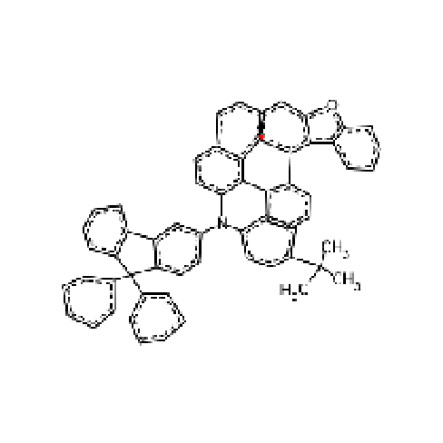 CC(C)(C)c1ccc(N(c2ccc3c(c2)-c2ccccc2C3(c2ccccc2)c2ccccc2)c2ccc3ccccc3c2-c2ccccc2-c2cccc3oc4ccccc4c23)cc1